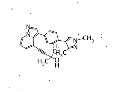 Cc1nn(C)cc1-c1ccc(-c2cnn3cccc(C#CC(C)(C)O)c23)cc1